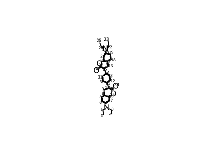 CCN(CC)c1ccc2cc(-c3ccc(-c4cc5ccc(N(CC)CC)cc5oc4=O)cc3)c(=O)oc2c1